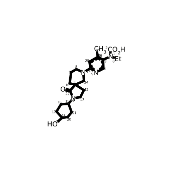 CCN(C(=O)O)c1cnc(N2CCCC3(CCN(C4CCC(O)CC4)C3=O)C2)cc1C